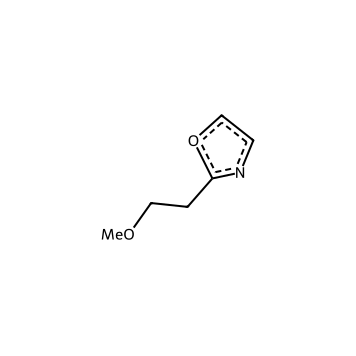 COCCc1ncco1